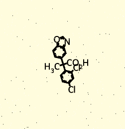 CC(C(=O)O)(c1ccc2ocnc2c1)c1ccc(Cl)cc1Cl